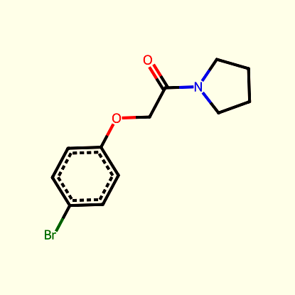 O=C(COc1ccc(Br)cc1)N1CCCC1